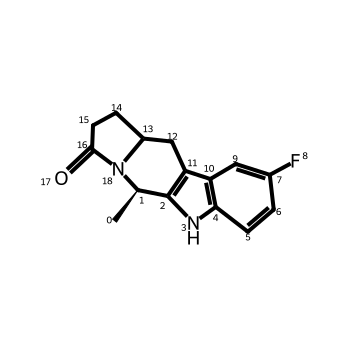 C[C@@H]1c2[nH]c3ccc(F)cc3c2CC2CCC(=O)N21